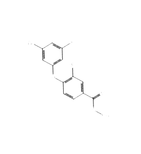 COC(=O)c1ccc(Oc2cc(F)cc(Br)c2)c(F)c1